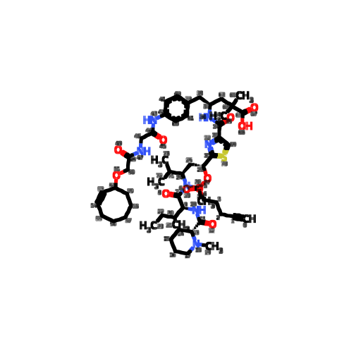 C#CCCCON(C(=O)[C@@H](NC(=O)[C@H]1CCCCN1C)[C@@H](C)CC)[C@H](C[C@@H](OC(C)=O)c1nc(C(=O)N[C@@H](Cc2ccc(NC(=O)CNC(=O)COC3C#CCCCCC3)cc2)CC(C)(C)C(=O)O)cs1)C(C)C